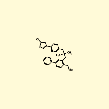 CC(C)(C)Cc1ccc(-c2ccccc2)cc1CC(C)(C)Cc1ccc(-c2csc(Cl)c2)nc1